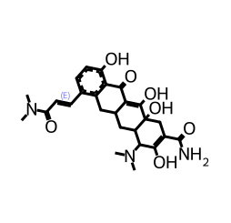 CN(C)C(=O)/C=C/c1ccc(O)c2c1CC1CC3C(N(C)C)C(O)=C(C(N)=O)CC3(O)C(O)=C1C2=O